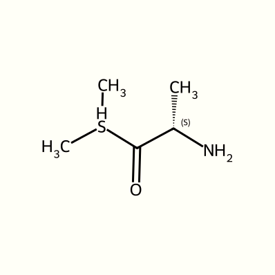 C[C@H](N)C(=O)[SH](C)C